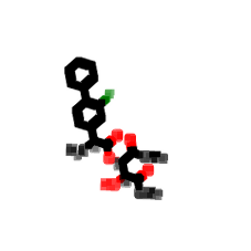 COC(=O)[C@@H](O)[C@H](OC(=O)[C@@H](C)c1ccc(-c2ccccc2)c(F)c1)C(=O)OC